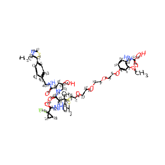 COc1cc(OCCOCCOCCOCCSC(C)(C)[C@H](NC(=O)C2(F)CC2)C(=O)N2C[C@H](O)C[C@@H]2C(=O)NCc2ccc(-c3scnc3C)cc2)ccc1NC(=O)O